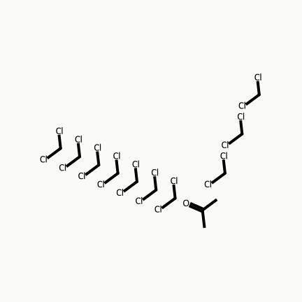 CC(C)=O.ClCCl.ClCCl.ClCCl.ClCCl.ClCCl.ClCCl.ClCCl.ClCCl.ClCCl.ClCCl